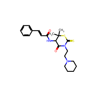 CC1(C)SC(=S)N(CCN2CCCCC2)C(=O)C1NC(=O)C=Cc1ccccc1